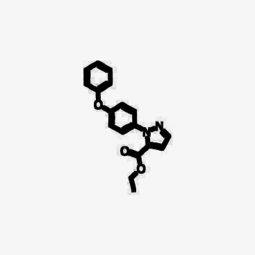 CCOC(=O)c1ccnn1-c1ccc(Oc2ccccc2)cc1